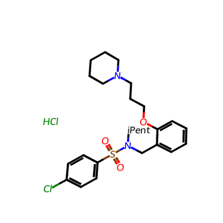 CCCC(C)N(Cc1ccccc1OCCCN1CCCCC1)S(=O)(=O)c1ccc(Cl)cc1.Cl